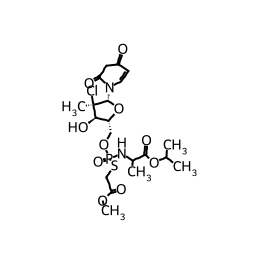 COC(=O)CSP(=O)(NC(C)C(=O)OC(C)C)OC[C@H]1O[C@@H](N2C=CC(=O)CC2=O)[C@](C)(Cl)[C@@H]1O